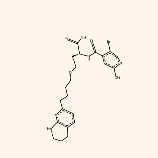 O=C(N[C@@H](CCOCCCCc1ccc2c(n1)NCCC2)C(=O)O)c1cc(O)ncc1Br